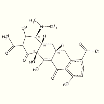 CCC(=O)c1ccc(O)c2c1C[C@H]1C[C@H]3[C@H](N(C)C)C(O)C(C(N)=O)C(=O)[C@@]3(O)C(O)=C1C2=O